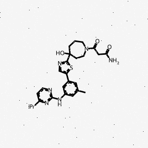 Cc1cc(Nc2nccc(C(C)C)n2)cc(-c2cnc(C3(O)CCCN(C(=O)CC(N)=O)CC3)s2)c1